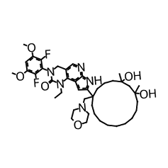 CCN1C(=O)N(c2c(F)c(OC)cc(OC)c2F)Cc2cnc3[nH]c(C4(CN5CCOCC5)CCCCCCCCCC(C)(O)CC(C)(O)CCC4)cc3c21